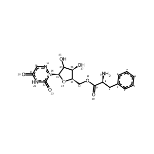 N[C@@H](Cc1ccccc1)C(=O)OC[C@H]1O[C@@H](n2ncc(=O)[nH]c2=O)C(O)[C@H]1O